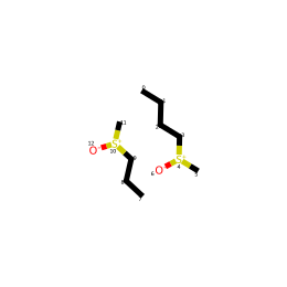 CCCC[S+](C)[O-].CCC[S+](C)[O-]